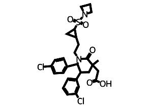 CC1(CC(=O)O)CC(c2cccc(Cl)c2)C(c2ccc(Cl)cc2)N(CCC2CC2S(=O)(=O)N2CCC2)C1=O